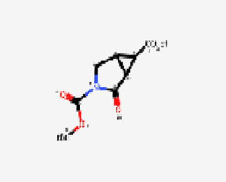 CCOC(=O)C1C2CN(C(=O)OC(C)(C)C)C(=O)C21